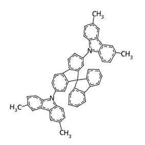 Cc1ccc2c(c1)c1cc(C)ccc1n2-c1ccc2c(c1)C1(c3ccccc3-c3ccccc31)c1cc(-n3c4ccc(C)cc4c4cc(C)ccc43)ccc1-2